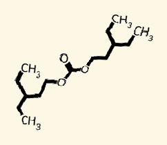 CCC(CC)CCOC(=O)OCCC(CC)CC